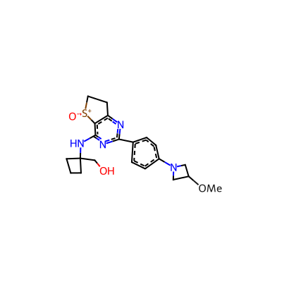 COC1CN(c2ccc(-c3nc4c(c(NC5(CO)CCC5)n3)[S@+]([O-])CC4)cc2)C1